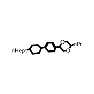 CCCCCCCC1CCC(c2ccc(C3COC(CCC)CO3)cc2)CC1